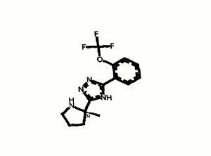 C[C@@]1(c2nnc(-c3ccccc3OC(F)(F)F)[nH]2)CCCN1